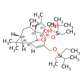 CC[Si](CC)(OCC1=C[C@@H]2C(=O)[C@]3(C=C(C)[C@H](O)[C@@]3(O)[C@@H]1O[Si](CC)(CC)C(C)C)[C@H](C)C[C@@H]1[C@H]2C1(C)C)C(C)C